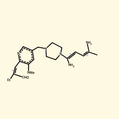 CC/C(C=O)=C/c1ncc(CN2CCN(/C(N)=C/C=C(/C)N)CC2)cc1NC